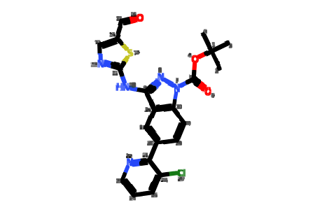 CC(C)(C)OC(=O)n1nc(Nc2ncc(C=O)s2)c2cc(-c3ncccc3Cl)ccc21